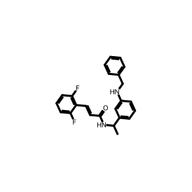 CC(NC(=O)C=Cc1c(F)cccc1F)c1cccc(NCc2ccccc2)c1